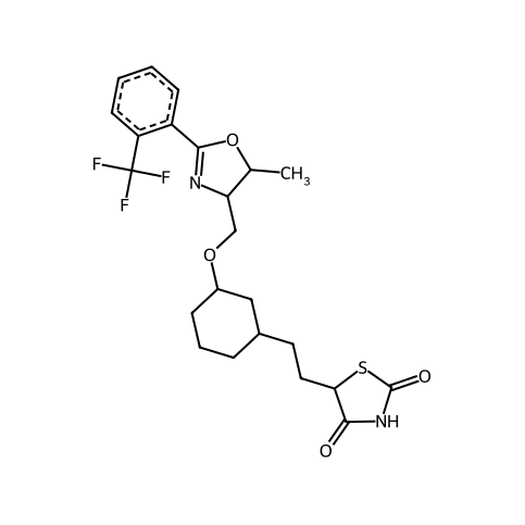 CC1OC(c2ccccc2C(F)(F)F)=NC1COC1CCCC(CCC2SC(=O)NC2=O)C1